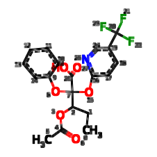 CCC(OC(C)=O)C(Oc1ccccc1)(Oc1ccc(C(F)(F)F)cn1)C(=O)O